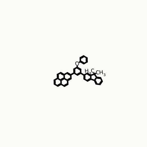 CC1(C)c2ccccc2-c2ccc(-c3cc(Oc4ccccc4)cc(-c4cc5ccc6cccc7ccc(c4)c5c67)c3)cc21